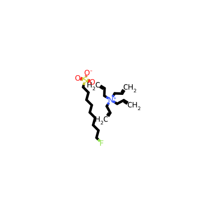 C=CC[N+](CC=C)(CC=C)CC=C.O=S(=O)([O-])CCCCCCCCCF